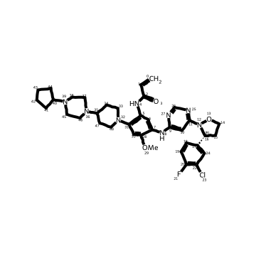 C=CC(=O)Nc1cc(Nc2cc(N3OCC[C@@H]3c3ccc(F)c(Cl)c3)ncn2)c(OC)cc1N1CCC(N2CCN(C3CCCC3)CC2)CC1